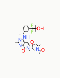 CO[C@]1(c2cc3c(N[C@H](C)c4cccc(C(F)(F)C(C)(C)O)c4)nc(C)nc3c(=O)n2C)CCN(C(C)=O)[C@H](C)C1